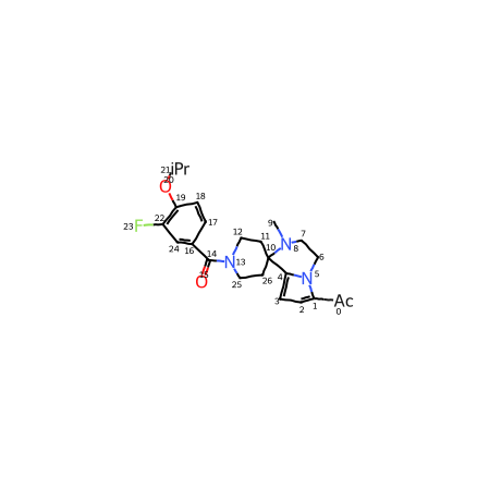 CC(=O)c1ccc2n1CCN(C)C21CCN(C(=O)c2ccc(OC(C)C)c(F)c2)CC1